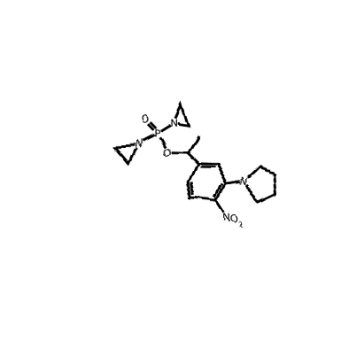 CC(OP(=O)(N1CC1)N1CC1)c1ccc([N+](=O)[O-])c(N2CCCC2)c1